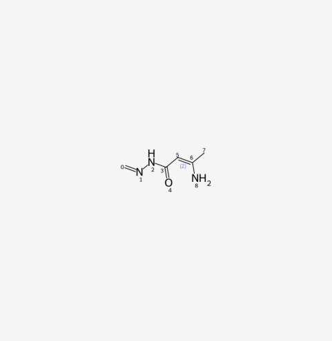 C=NNC(=O)/C=C(/C)N